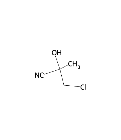 CC(O)(C#N)CCl